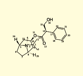 CC(C)[N@+]1(C)[C@@H]2CC[C@@H]1C[C@H](OC(=O)[C@@H](CO)c1ccccc1)C2